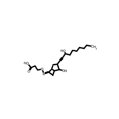 CCCCCCCC(O)C#CC1CC2C(=NOCCC(=O)O)CC2C1O